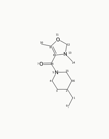 [CH2]CC1CCN(C(=O)C2=C(C)OCN2C)CC1